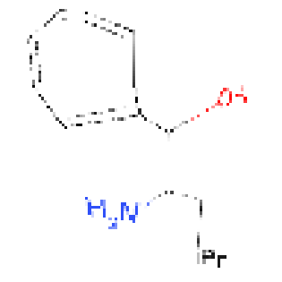 CC(C)CC(N)C(O)c1ccccc1